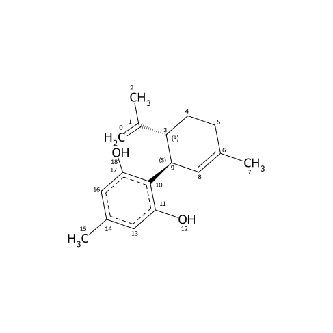 C=C(C)[C@@H]1CCC(C)=C[C@H]1c1c(O)cc(C)cc1O